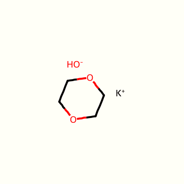 C1COCCO1.[K+].[OH-]